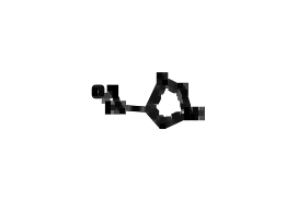 O=[N+]([O-])Nc1c[nH]nn1